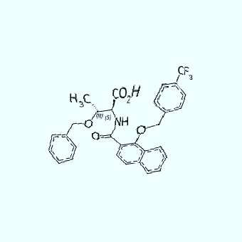 C[C@@H](OCc1ccccc1)[C@H](NC(=O)c1ccc2ccccc2c1OCc1ccc(C(F)(F)F)cc1)C(=O)O